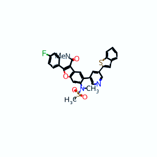 CNC(=O)c1c(-c2ccc(F)cc2)oc2cc(N(C)S(C)(=O)=O)c(-c3cncc(-c4cc5ccccc5s4)c3)cc12